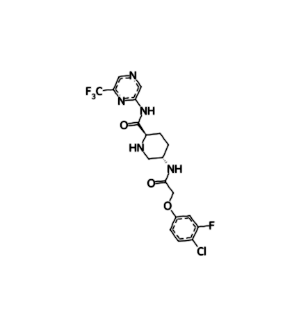 O=C(COc1ccc(Cl)c(F)c1)N[C@H]1CC[C@H](C(=O)Nc2cncc(C(F)(F)F)n2)NC1